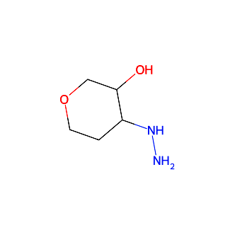 NNC1CCOCC1O